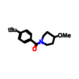 COC1CCN(C(=O)c2ccc(C(C)(C)C)cc2)CC1